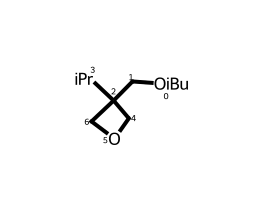 CC(C)COCC1(C(C)C)COC1